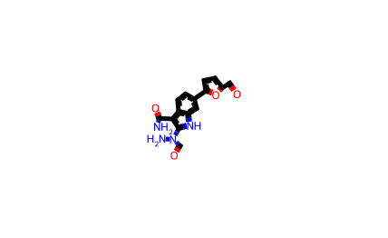 NC(=O)c1c(N(N)C=O)[nH]c2cc(-c3ccc(C=O)o3)ccc12